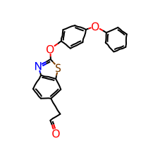 O=CCc1ccc2nc(Oc3ccc(Oc4ccccc4)cc3)sc2c1